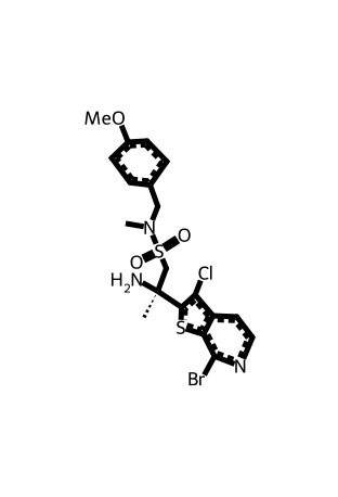 COc1ccc(CN(C)S(=O)(=O)C[C@](C)(N)c2sc3c(Br)nccc3c2Cl)cc1